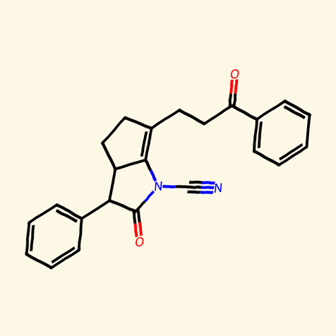 N#CN1C(=O)C(c2ccccc2)C2CCC(CCC(=O)c3ccccc3)=C21